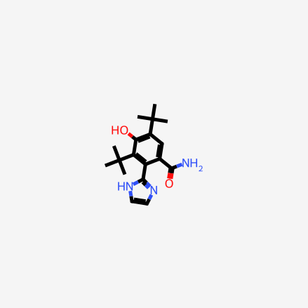 CC(C)(C)c1cc(C(N)=O)c(-c2ncc[nH]2)c(C(C)(C)C)c1O